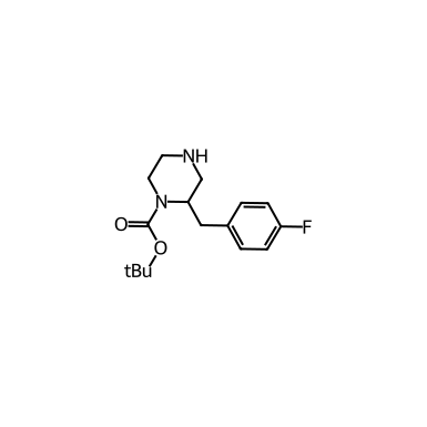 CC(C)(C)OC(=O)N1CCNCC1Cc1ccc(F)cc1